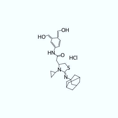 Cl.O=C(CC1CSC(=NC23CC4CC(CC(C4)C2)C3)N1C1CC1)Nc1ccc(=CO)c(=CO)c1